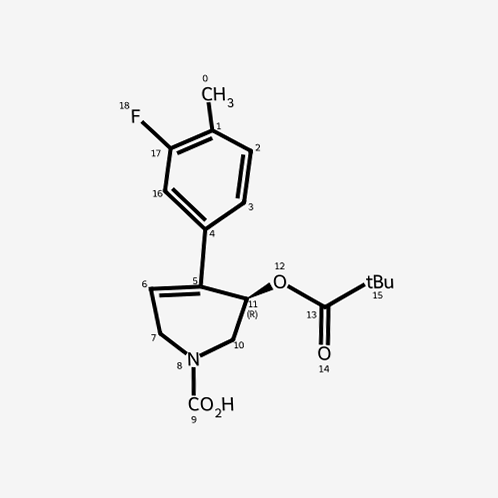 Cc1ccc(C2=CCN(C(=O)O)C[C@@H]2OC(=O)C(C)(C)C)cc1F